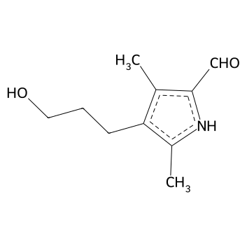 Cc1[nH]c(C=O)c(C)c1CCCO